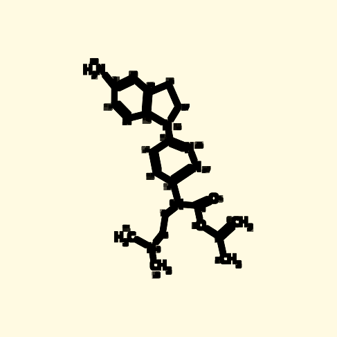 C=C(C)OC(=O)N(CCN(C)C)c1ccc(N2CCc3cc(N)ccc32)nn1